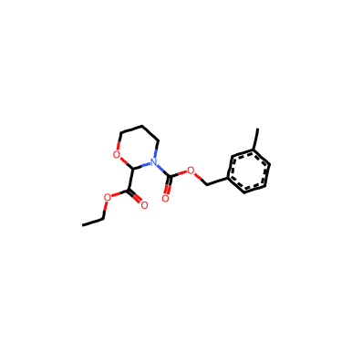 CCOC(=O)C1OCCCN1C(=O)OCc1cccc(C)c1